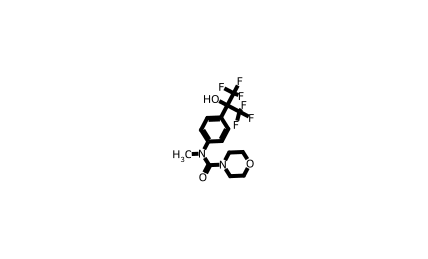 CN(C(=O)N1CCOCC1)c1ccc(C(O)(C(F)(F)F)C(F)(F)F)cc1